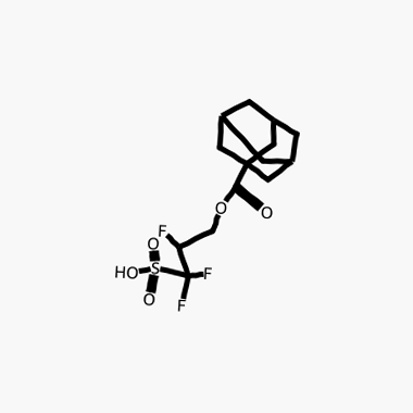 O=C(OCC(F)C(F)(F)S(=O)(=O)O)C12CC3CC(CC(C3)C1)C2